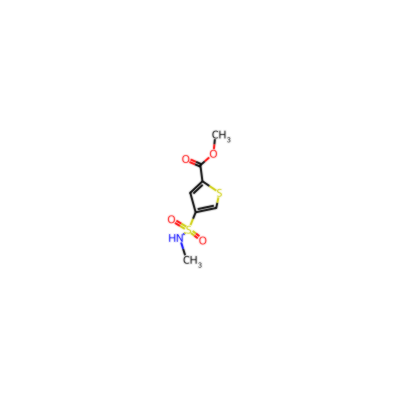 CNS(=O)(=O)c1csc(C(=O)OC)c1